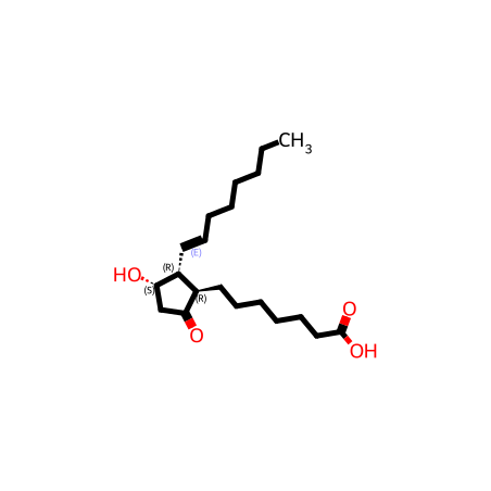 CCCCCC/C=C/[C@H]1[C@@H](O)CC(=O)[C@@H]1CCCCCCC(=O)O